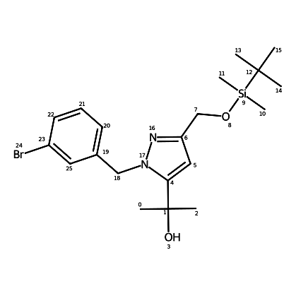 CC(C)(O)c1cc(CO[Si](C)(C)C(C)(C)C)nn1Cc1cccc(Br)c1